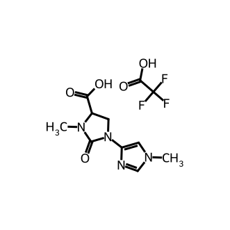 CN1C(=O)N(c2cn(C)cn2)CC1C(=O)O.O=C(O)C(F)(F)F